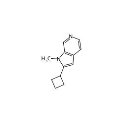 Cn1c(C2CCC2)cc2ccncc21